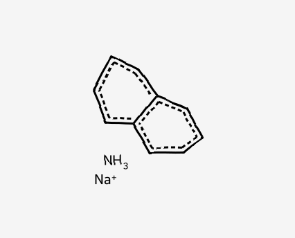 N.[Na+].c1ccc2ccccc2c1